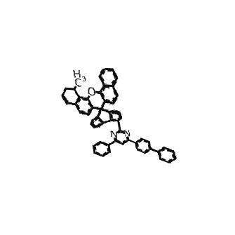 CC1CC=Cc2ccc3c(c21)Oc1c(ccc2ccccc12)C31c2ccccc2-c2c(-c3nc(-c4ccccc4)cc(-c4ccc(-c5ccccc5)cc4)n3)cccc21